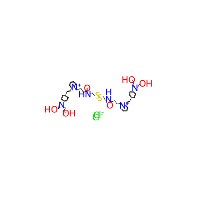 O=C(CCC[n+]1ccccc1C=Cc1ccc(N(CCO)CCO)cc1)NCCSSCCNC(=O)CCC[n+]1ccccc1C=Cc1ccc(N(CCO)CCO)cc1.[Cl-].[Cl-]